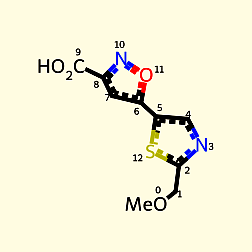 COCc1ncc(-c2cc(C(=O)O)no2)s1